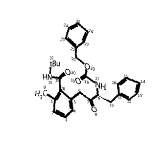 Cc1cccc(CC(=O)[C@H](Cc2ccccc2)NC(=O)OCc2ccccc2)c1C(=O)NC(C)(C)C